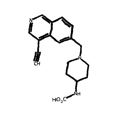 C#Cc1cncc2ccc(CN3CCC(NC(=O)O)CC3)cc12